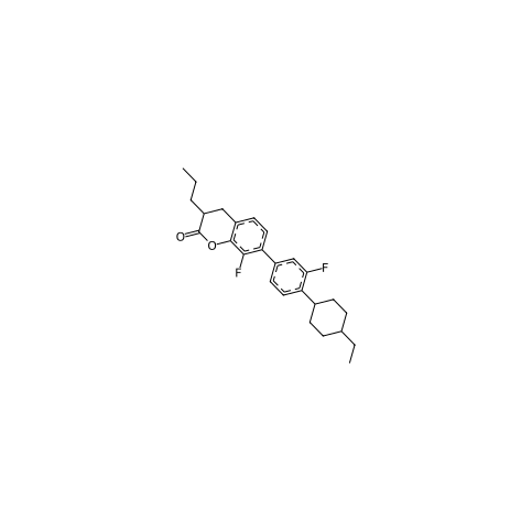 CCCC1Cc2ccc(-c3ccc(C4CCC(CC)CC4)c(F)c3)c(F)c2OC1=O